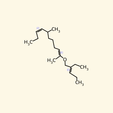 CC/C=C\C(C)CCC/C=C(\C)OC/C(=C/CC)CC